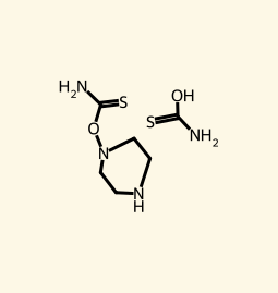 NC(=S)ON1CCNCC1.NC(O)=S